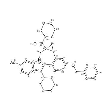 CC(=O)c1ccc2c(C3CCCCC3)c3n(c2c1)CC1(C(=O)N2CCOCC2)CC1c1cc(OCc2ccccc2)ccc1-3